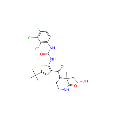 CC(C)(C)c1cc(C(=O)N2CCNC(=O)C2(C)CCO)c(NC(=O)Nc2ccc(F)c(Cl)c2Cl)s1